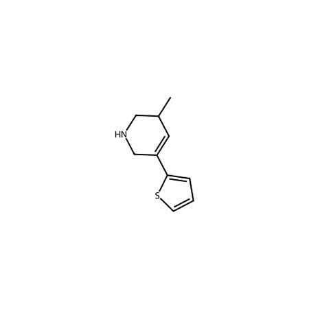 CC1C=C(c2cccs2)CNC1